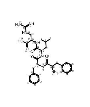 CC(C)C[C@@H](NC(=O)[C@@H](Cc1ccccc1)NC(=O)[C@H](N)Cc1ccccc1)C(=O)N[C@H](CNC(=N)N)C(=O)O